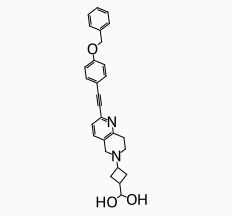 OC(O)C1CC(N2CCc3nc(C#Cc4ccc(OCc5ccccc5)cc4)ccc3C2)C1